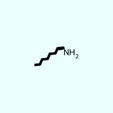 CCCCCC/C=C\N